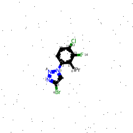 CC(C)c1c(-n2cc(Br)nn2)ccc(Cl)c1F